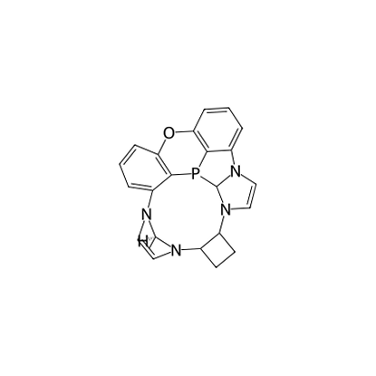 C[C@H]1N2C=CN1C1CCC1N1C=CN3c4cccc5c4P(c4c(cccc42)O5)C31